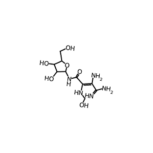 N=C(N)/C(N)=C(\NCO)C(=O)NC1OC(CO)C(O)C1O